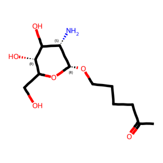 CC(=O)CCCCO[C@@H]1OC(CO)[C@H](O)C(O)[C@@H]1N